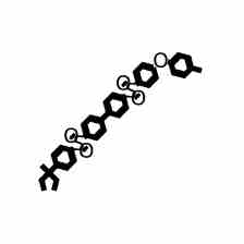 CCC(C)(CC)c1ccc(S(=O)(=O)c2ccc(-c3ccc(S(=O)(=O)c4ccc(Oc5ccc(C)cc5)cc4)cc3)cc2)cc1